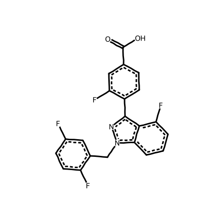 O=C(O)c1ccc(-c2nn(Cc3cc(F)ccc3F)c3cccc(F)c23)c(F)c1